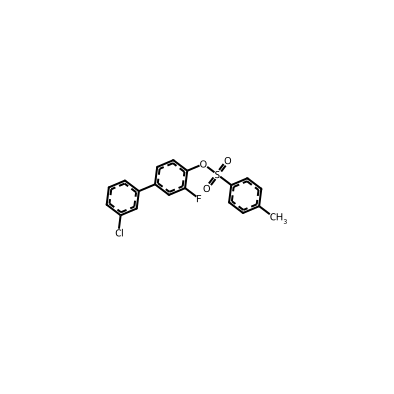 Cc1ccc(S(=O)(=O)Oc2ccc(-c3cccc(Cl)c3)cc2F)cc1